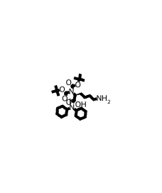 C1CCC(NC2CCCCC2)CC1.CC(C)(C)OC(=O)N(C(=O)OC(C)(C)C)[C@@H](CCCCN)C(=O)O